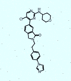 O=C1c2cc(-c3nc(NC4CCOCC4)ncc3Cl)ccc2CN1C[CH]c1ccc(-n2ccnc2)cc1